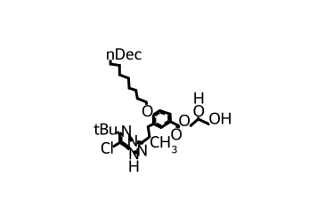 CCCCCCCCCCCCCCCCCCOc1ccc(C(=O)OCC(O)CO)cc1CC(C)c1n[nH]c2c(Cl)c(C(C)(C)C)nn12